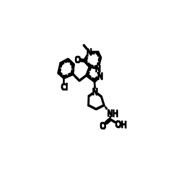 Cn1ccn2nc(N3CCC[C@@H](NC(=O)O)C3)c(Cc3ccccc3Cl)c2c1=O